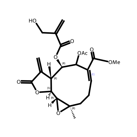 C=C(CO)C(=O)O[C@H]1C(OC(C)=O)/C(C(=O)OC)=C\CC[C@@]2(C)O[C@@H]2[C@H]2OC(=O)C(=C)[C@@H]21